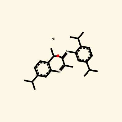 CC(=Nc1cc(C(C)C)ccc1C(C)C)C(C)=Nc1cc(C(C)C)ccc1C(C)C.[Ni]